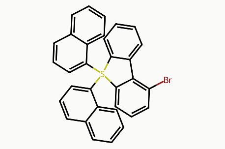 Brc1cccc2c1-c1ccccc1S2(c1cccc2ccccc12)c1cccc2ccccc12